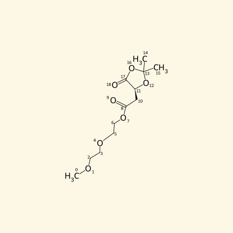 COCCOCCOC(=O)C[C@@H]1OC(C)(C)OC1=O